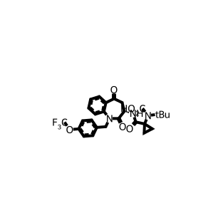 CC(C)(C)N(C(=O)O)C1(C(=O)N[C@H]2CC(=O)c3ccccc3N(Cc3ccc(OC(F)(F)F)cc3)C2=O)CC1